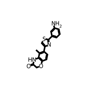 Cc1c(-c2csc(-c3cccc(N)c3)n2)ccc2c1NC(=O)CO2